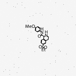 CCS(=O)(=O)c1ccc2c(c1)CCNC2C(=O)Nc1ccc(OC)cc1